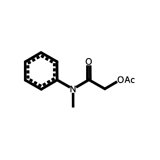 CC(=O)OCC(=O)N(C)c1ccccc1